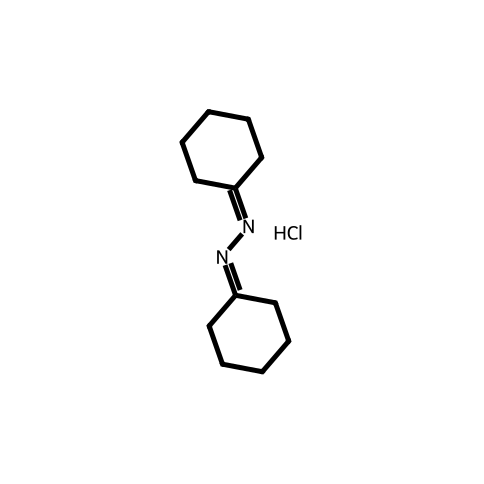 C1CCC(=NN=C2CCCCC2)CC1.Cl